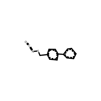 O=C=NSCc1ccc(-c2ccccc2)cc1